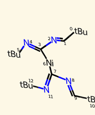 CC(C)(C)C=N[C](=NC(C)(C)C)[Ni][C](N=CC(C)(C)C)=NC(C)(C)C